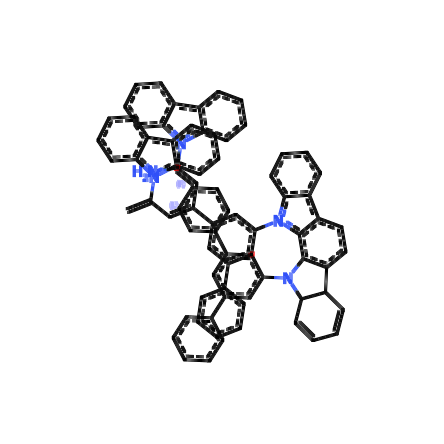 C=C(/C=C(\C=C(/N)n1c2ccccc2c2ccccc21)c1cc(-c2ccccc2)cc(-n2c3ccccc3c3ccc4c(c32)N(c2cc(-c3ccccc3)cc(-c3ccccc3)c2)C2C=CC=CC42)c1)n1c2ccccc2c2ccccc21